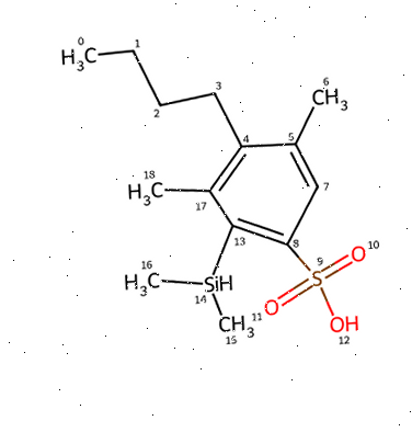 CCCCc1c(C)cc(S(=O)(=O)O)c([SiH](C)C)c1C